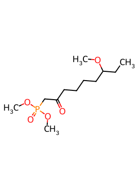 CCC(CCCCC(=O)CP(=O)(OC)OC)OC